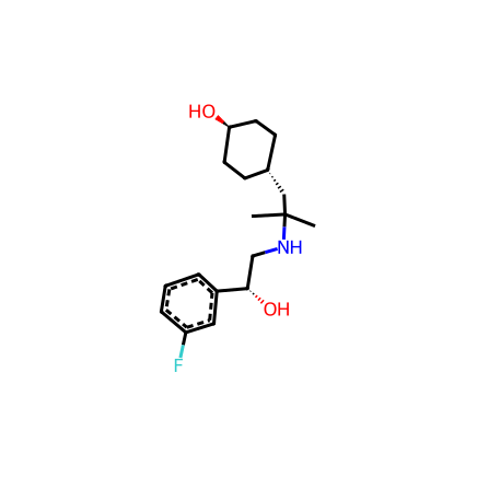 CC(C)(C[C@H]1CC[C@H](O)CC1)NC[C@H](O)c1cccc(F)c1